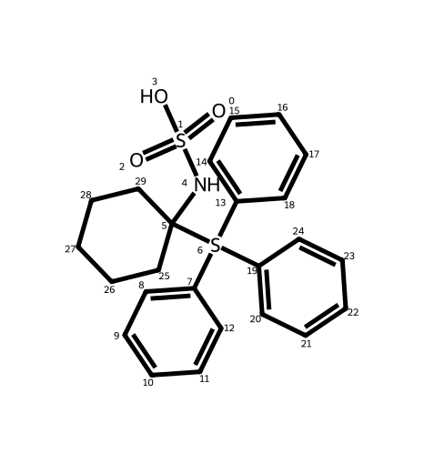 O=S(=O)(O)NC1(S(c2ccccc2)(c2ccccc2)c2ccccc2)CCCCC1